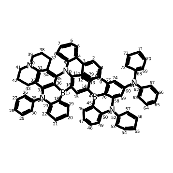 c1ccc(-c2ccccc2N2c3cc4c(cc3B3c5ccccc5N(c5ccccc5)c5c6c7c(c2c53)CCCN7CCC6)B2c3ccccc3N(c3ccccc3)c3cc(N(c5ccccc5)c5ccccc5)cc(c32)O4)cc1